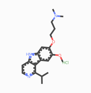 COc1cc2c(cc1OCCCN(C)C)[nH]c1ccnc(C(C)C)c12.Cl